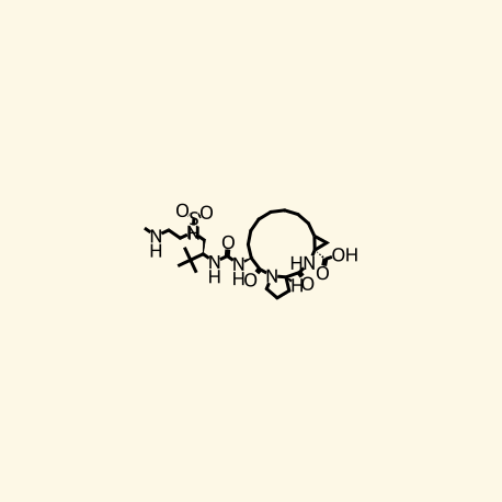 CNCCN(C[C@@H](NC(=O)N[C@H]1CCCCCCCC2C[C@@]2(C(=O)O)NC(=O)[C@@H]2CCCN2C1=O)C(C)(C)C)[SH](=O)=O